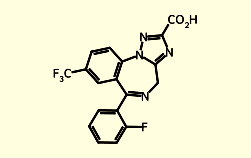 O=C(O)c1nc2n(n1)-c1ccc(C(F)(F)F)cc1C(c1ccccc1F)=NC2